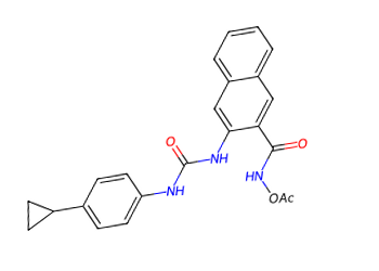 CC(=O)ONC(=O)c1cc2ccccc2cc1NC(=O)Nc1ccc(C2CC2)cc1